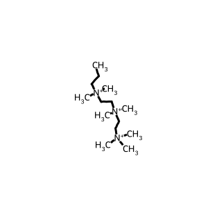 CCC[N+](C)(C)CC[N+](C)(C)CC[N+](C)(C)C